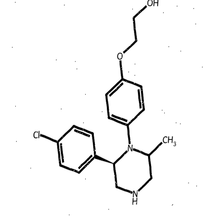 CC1CNC[C@@H](c2ccc(Cl)cc2)N1c1ccc(OCCO)cc1